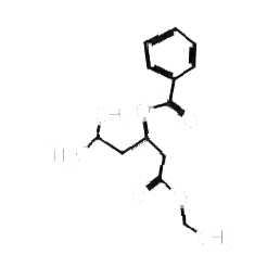 CCOC(=O)CC(CC(C)C)OC(=O)c1ccccc1